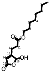 CCCCCCCCOC(=O)CCC1=CC(=O)OC1O